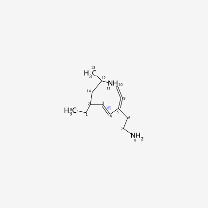 CCC1/C=C/C(CCN)=C=CNC(C)C1